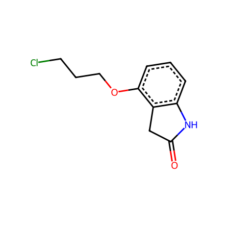 O=C1Cc2c(cccc2OCCCCl)N1